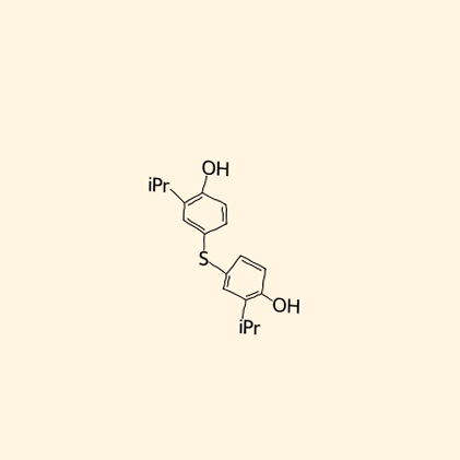 CC(C)c1cc(Sc2ccc(O)c(C(C)C)c2)ccc1O